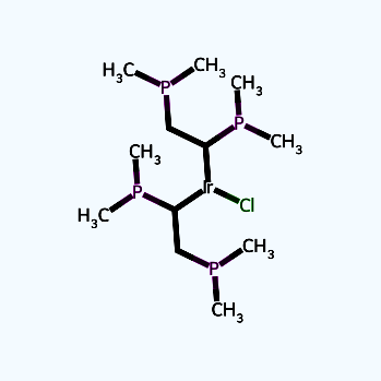 CP(C)C[CH](P(C)C)[Ir]([Cl])[CH](CP(C)C)P(C)C